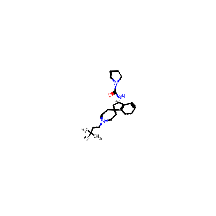 CC(C)(C)CCN1CCC2(CC1)C[C@H](NC(=O)N1CCCC1)C1=C2CCC=C1